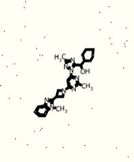 Cc1nc(N2CC(c3nc4ccccc4n3C)C2)cc(-n2nc(C)nc2C(O)C2CCCCC2)n1